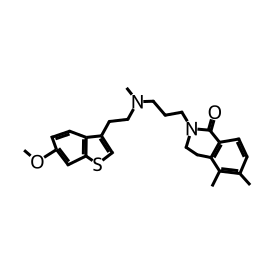 COc1ccc2c(CCN(C)CCCN3CCc4c(ccc(C)c4C)C3=O)csc2c1